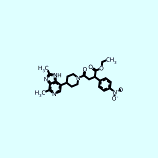 CCOC(=O)C(CC(=O)N1CCC(c2cnc(C)c3nc(C)[nH]c23)CC1)c1ccc([N+](=O)[O-])cc1